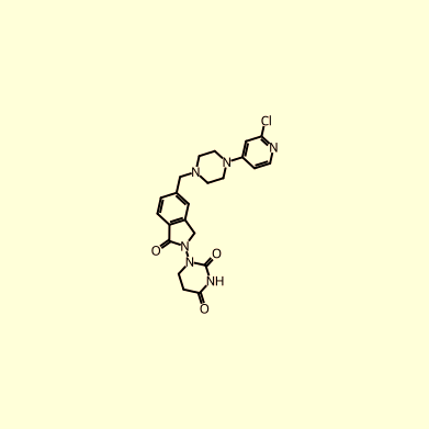 O=C1CCN(N2Cc3cc(CN4CCN(c5ccnc(Cl)c5)CC4)ccc3C2=O)C(=O)N1